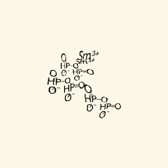 O=[PH]([O-])O[PH](=O)[O-].O=[PH]([O-])O[PH](=O)[O-].O=[PH]([O-])O[PH](=O)[O-].[Sm+3].[Sm+3]